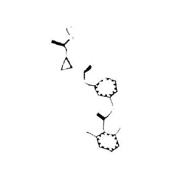 CNC(=O)[C@@H]1C[C@H]1C(=O)Nc1cc(NC(=O)c2c(Cl)cccc2Cl)ccn1